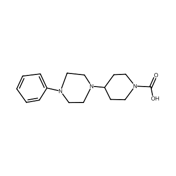 O=C(O)N1CCC(N2CCN(c3ccccc3)CC2)CC1